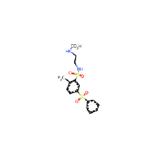 O=C(O)NCCNS(=O)(=O)c1cc(S(=O)(=O)c2ccccc2)ccc1C(F)(F)F